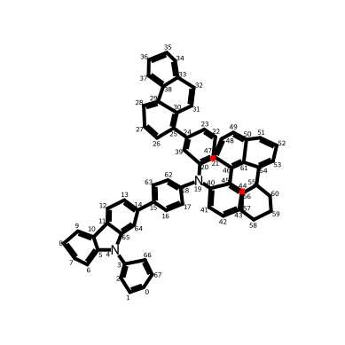 c1ccc(-n2c3ccccc3c3ccc(-c4ccc(N(c5cccc(-c6cccc7c6ccc6ccccc67)c5)c5ccccc5-c5cccc6cccc(C7CCCCC7)c56)cc4)cc32)cc1